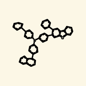 c1ccc(-c2ccc(N(c3ccc(-c4cc5oc6ccccc6c5cc4-c4ccccc4)cc3)c3ccc(-c4cccc5ccccc45)cc3)cc2)cc1